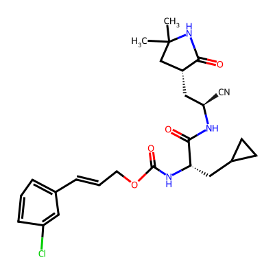 CC1(C)C[C@@H](C[C@@H](C#N)NC(=O)[C@H](CC2CC2)NC(=O)OC/C=C/c2cccc(Cl)c2)C(=O)N1